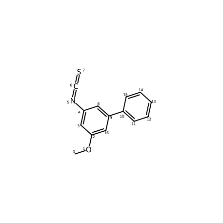 COc1cc(N=C=S)cc(-c2ccccc2)c1